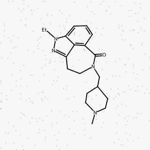 CCn1nc2c3c(cccc31)C(=O)N(CC1CCN(C)CC1)CC2